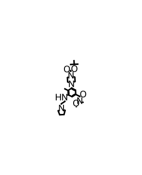 CON(C)C(=O)c1cc(NCCN2CCCC2)c(C)c(N2CCN(C(=O)OC(C)(C)C)CC2)c1